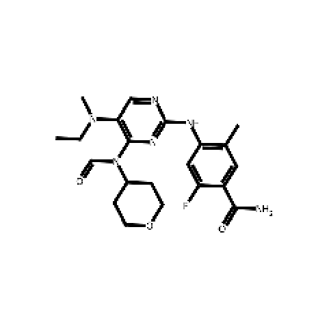 CCN(C)c1cnc(Nc2cc(F)c(C(N)=O)cc2C)nc1N(C=O)C1CCOCC1